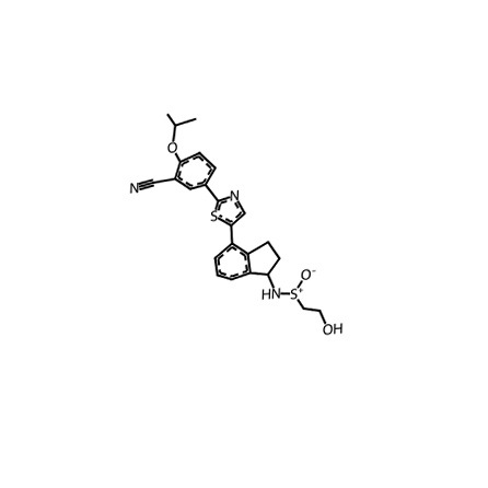 CC(C)Oc1ccc(-c2ncc(-c3cccc4c3CCC4N[S+]([O-])CCO)s2)cc1C#N